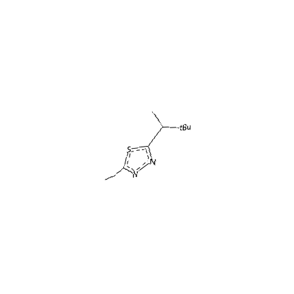 Cc1nnc(C(C)C(C)(C)C)s1